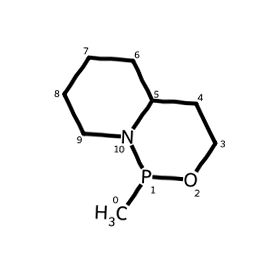 CP1OCCC2CCCCN21